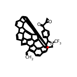 C=Cc1c2ccc3c4c5c6c7c8c9c%10c%11c%12c(cc%11c1c1c2c3c5c8c%101)C=CC1C%12C=9C2C1C=CC(C=6C1C4CN(C(F)(F)F)C1c1ccc(C(=O)C3CO3)cc1)C72